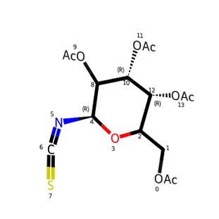 CC(=O)OCC1O[C@@H](N=C=S)C(OC(C)=O)[C@H](OC(C)=O)[C@@H]1OC(C)=O